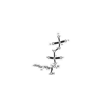 N.N.O=S(=O)(O)O.O=S(=O)([O-])OOS(=O)(=O)[O-].[Na+].[Na+]